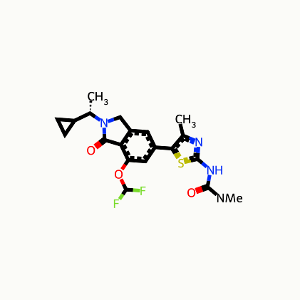 CNC(=O)Nc1nc(C)c(-c2cc3c(c(OC(F)F)c2)C(=O)N([C@@H](C)C2CC2)C3)s1